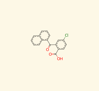 O=C(O)c1ccc(Cl)cc1C(=O)c1cccc2ccccc12